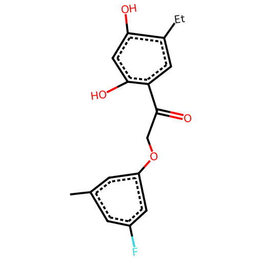 CCc1cc(C(=O)COc2cc(C)cc(F)c2)c(O)cc1O